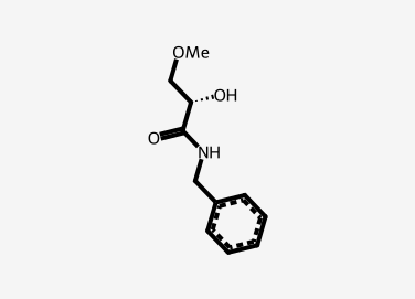 COC[C@H](O)C(=O)NCc1ccccc1